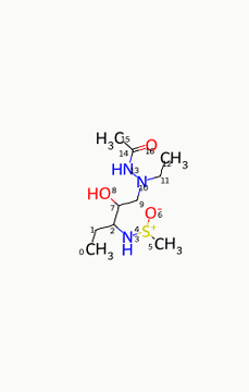 CCC(N[S+](C)[O-])C(O)CN(CC)NC(C)=O